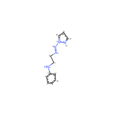 c1ccc(NCCN=Nn2cccn2)cc1